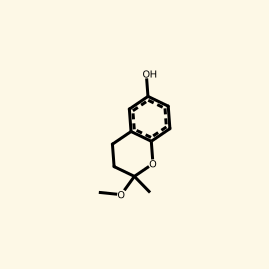 COC1(C)CCc2cc(O)ccc2O1